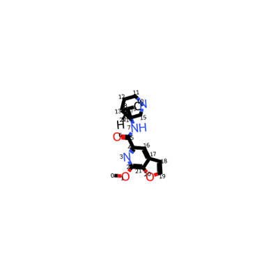 COc1nc(C(=O)N[C@H]2CN3CCC2CC3)cc2ccoc12